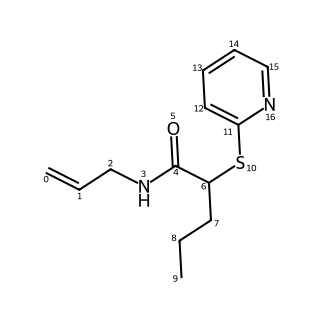 C=CCNC(=O)C(CCC)Sc1ccccn1